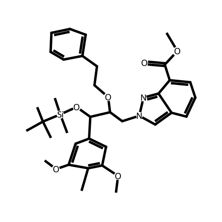 COC(=O)c1cccc2cn(CC(OCCc3ccccc3)C(O[Si](C)(C)C(C)(C)C)c3cc(OC)c(C)c(OC)c3)nc12